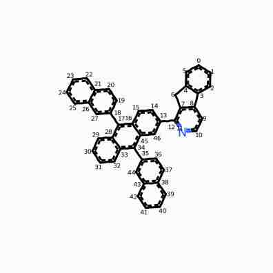 c1ccc2c(c1)Cc1c-2ccnc1-c1ccc2c(-c3ccc4ccccc4c3)c3ccccc3c(-c3ccc4ccccc4c3)c2c1